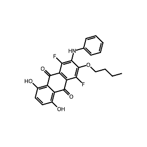 CCCCOc1c(F)c2c(c(F)c1Nc1ccccc1)C(=O)c1c(O)ccc(O)c1C2=O